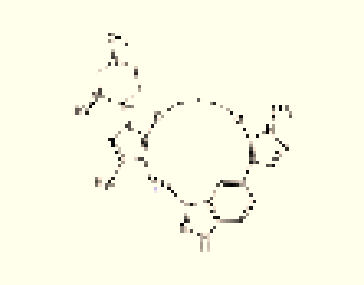 Cc1nn([C@H]2CCN(C)C[C@@H]2O)c2c1/C=C/c1n[nH]c3ccc(cc13)-c1cnn(C)c1OCCCO2